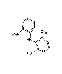 CNc1ccccc1Nc1c(C)cccc1C